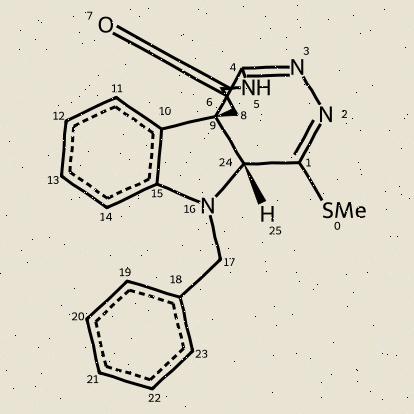 CSC1=NN=C2NC(=O)C[C@@]23c2ccccc2N(Cc2ccccc2)[C@@H]13